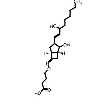 CCCCCCC(O)C=CC1C[C@@H]2C(=NOCCCC(=O)O)C[C@H]2C1O